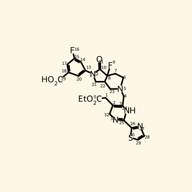 CCOC(=O)CC1=C(CN2CCC3(F)C(=O)N(c4cc(F)cc(C(=O)O)c4)CC3C2)NC(c2nccs2)=NC1